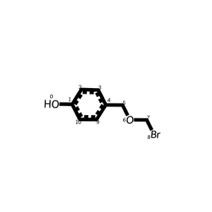 Oc1ccc(COCBr)cc1